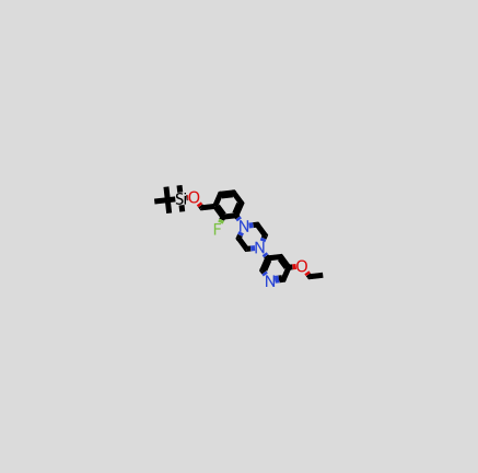 CCOc1cncc(N2CCN(c3cccc(CO[Si](C)(C)C(C)(C)C)c3F)CC2)c1